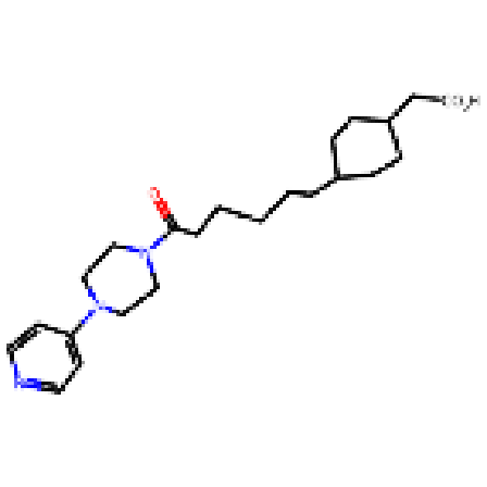 O=C(O)CC1CCC(CCCCCC(=O)N2CCN(c3ccncc3)CC2)CC1